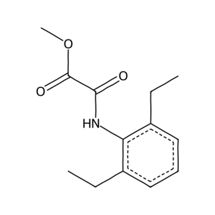 CCc1cccc(CC)c1NC(=O)C(=O)OC